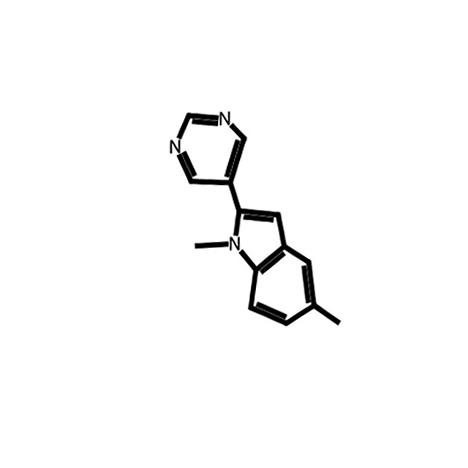 Cc1ccc2c(c1)cc(-c1cncnc1)n2C